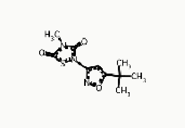 Cn1c(=O)sn(-c2cc(C(C)(C)C)on2)c1=O